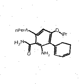 CCCCCc1cc(OC(C)C)c(C2=CC=CCC2)c(N)c1C(N)=O